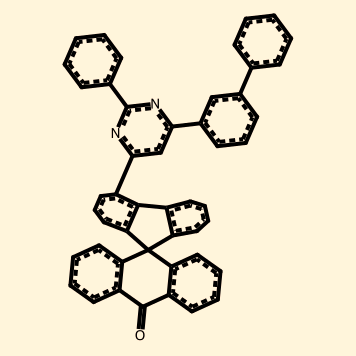 O=C1c2ccccc2C2(c3ccccc31)c1ccccc1-c1c(-c3cc(-c4cccc(-c5ccccc5)c4)nc(-c4ccccc4)n3)cccc12